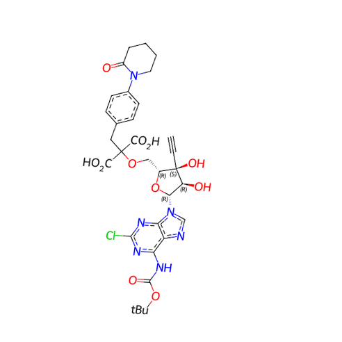 C#C[C@@]1(O)[C@@H](COC(Cc2ccc(N3CCCCC3=O)cc2)(C(=O)O)C(=O)O)O[C@@H](n2cnc3c(NC(=O)OC(C)(C)C)nc(Cl)nc32)[C@@H]1O